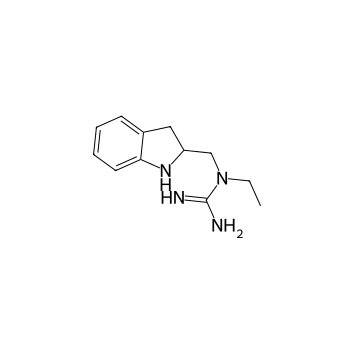 CCN(CC1Cc2ccccc2N1)C(=N)N